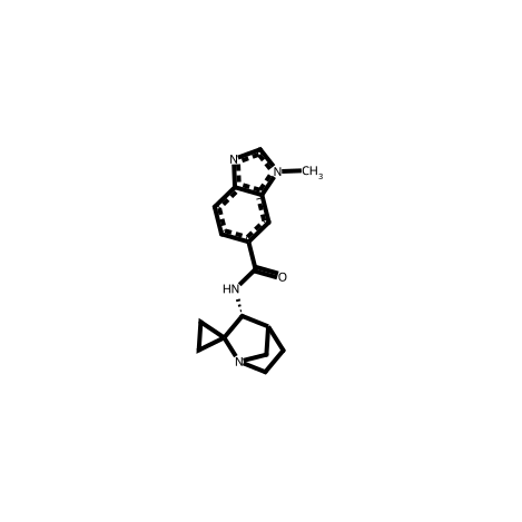 Cn1cnc2ccc(C(=O)N[C@@H]3C4CCN(C4)C34CC4)cc21